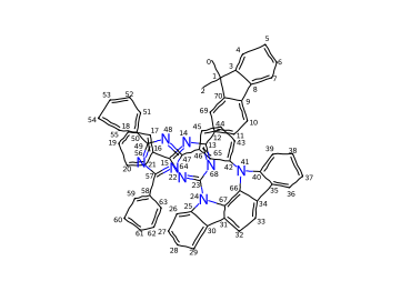 CC1(C)c2ccccc2-c2ccc(-c3nc(-c4ccccc4)nc(-n4c5ccccc5c5ccc6c7ccccc7n(-c7cccc(-c8nc(-c9ccccc9)nc(-c9ccccc9)n8)c7)c6c54)n3)cc21